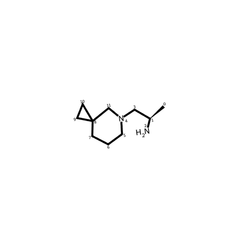 C[C@@H](N)CN1CCCC2(CC2)C1